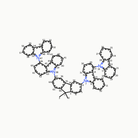 CC1(C)c2ccc(-n3c4ccccc4c4c(-n5c6ccccc6c6ccccc65)cccc43)cc2-c2cc(-n3c4ccccc4c4c(-n5c6ccccc6c6ccccc65)cccc43)ccc21